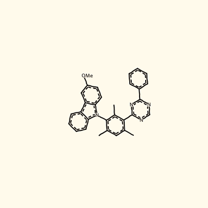 COc1ccc2c(c1)c1ccccc1n2-c1c(C)cc(C)c(-c2ncnc(-c3ccccc3)n2)c1C